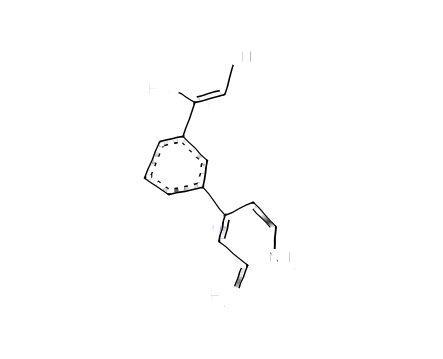 C=C/C=C(\C=C/N)c1cccc(/C(C)=C/C)c1